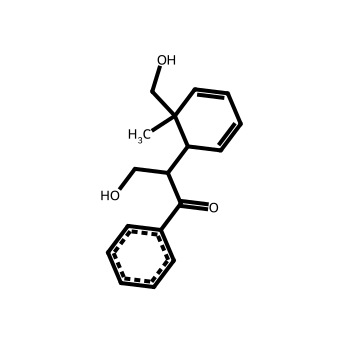 CC1(CO)C=CC=CC1C(CO)C(=O)c1ccccc1